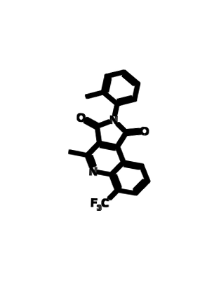 Cc1ccccc1N1C(=O)c2c(C)nc3c(C(F)(F)F)cccc3c2C1=O